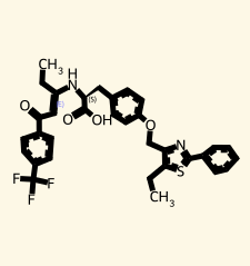 CC/C(=C\C(=O)c1ccc(C(F)(F)F)cc1)N[C@@H](Cc1ccc(OCc2nc(-c3ccccc3)sc2CC)cc1)C(=O)O